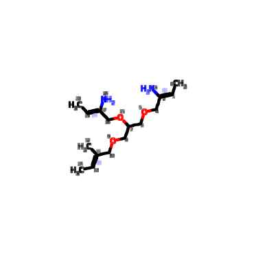 C/C=C(\N)COCC(COC/C(C)=C/C)OC/C(N)=C/C